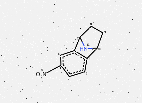 O=[N+]([O-])c1ccc2c(c1)C1CCC2N1